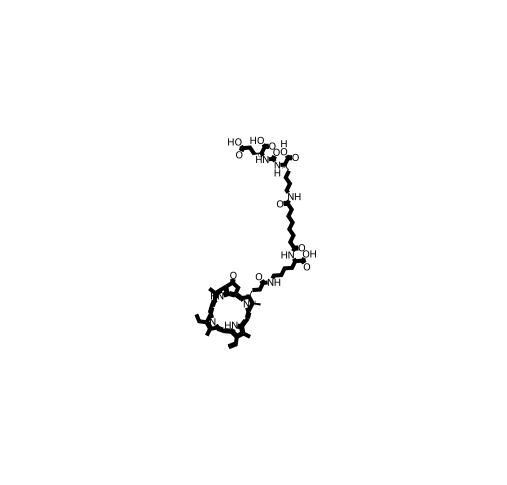 C=Cc1c(C)c2cc3nc(c4c5[nH]c(cc6nc(cc1[nH]2)C(C)=C6CC)c(C)c5C(=O)C4)[C@H](CCC(=O)NCCCCC(NC(=O)CCCCCCC(=O)NCCCC[C@H](NC(=O)N[C@@H](CCC(=O)O)C(=O)O)C(=O)O)C(=O)O)[C@H]3C